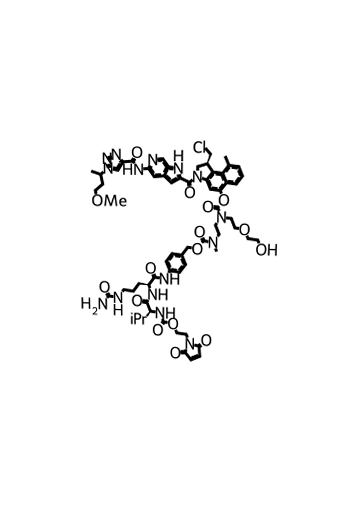 COCCC(C)n1cc(C(=O)Nc2cc3cc(C(=O)N4C[C@@H](CCl)c5c4cc(OC(=O)N(CCOCCO)CCN(C)C(=O)OCc4ccc(NC(=O)[C@H](CCCNC(N)=O)NC(=O)[C@@H](NC(=O)OCCN6C(=O)C=CC6=O)C(C)C)cc4)c4cccc(C)c54)[nH]c3cn2)nn1